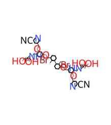 Cc1c(COc2cc(OCc3cncc(C#N)c3)c(CNC[C@H](O)CO)cc2Br)cccc1-c1cccc(OCc2cc(OCc3cncc(C#N)c3)c(CNC[C@H](O)CO)cc2Br)c1C